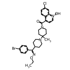 CCON=C(c1ccc(Br)cc1)C1CCN(C2(C)CCN(C(=O)c3cc[n+](O)c4cc(Cl)ccc34)CC2)CC1